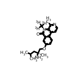 [2H]C([2H])([2H])n1c(=O)c2cc(OC[C@@](C)(N)CC(C)C)ccc2c2ccnc(C)c21